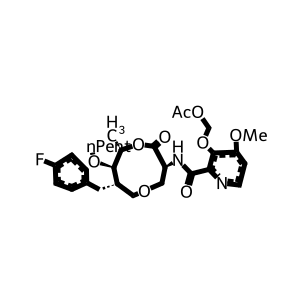 CCCCCO[C@@H]1[C@@H](Cc2ccc(F)cc2)COC[C@H](NC(=O)c2nccc(OC)c2OCOC(C)=O)C(=O)O[C@H]1C